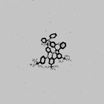 Cc1cc(N(c2ccccc2)c2ccccc2)ccc1-c1c(-c2ccccc2)c2cc(C(C)(C)C)cc3c2n1B1c2cc(C(C)(C)C)ccc2N(c2ccc(C(C)(C)C)cc2)c2cc(C(C)(C)C)cc-3c21